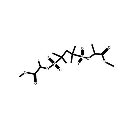 COC(=O)C(C)OS(=O)(=O)C(C)(C)CC(C)(C)S(=O)(=O)OC(I)C(=O)OC